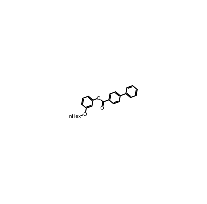 CCCCCCOc1cccc(OC(=O)c2ccc(-c3ccccc3)cc2)c1